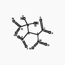 O=P(=O)C(C(P(=O)=O)C(O)(O)P(=O)=O)P(=O)=O